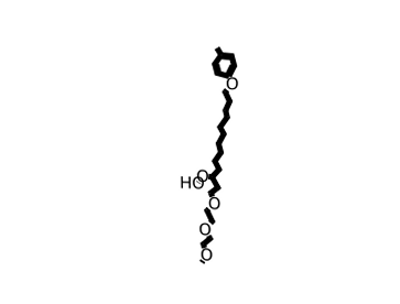 COCCOCCOCCC(CCCCCCCCCCOc1ccc(C)cc1)OO